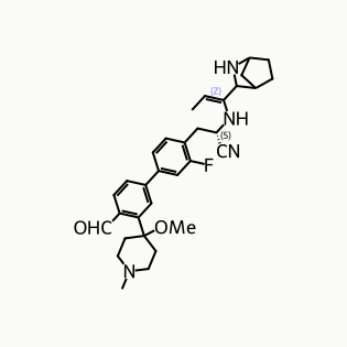 C/C=C(\N[C@H](C#N)Cc1ccc(-c2ccc(C=O)c(C3(OC)CCN(C)CC3)c2)cc1F)C1NC2CCC1C2